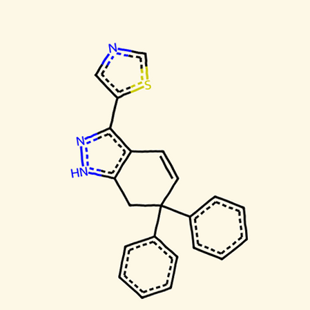 C1=CC(c2ccccc2)(c2ccccc2)Cc2[nH]nc(-c3cncs3)c21